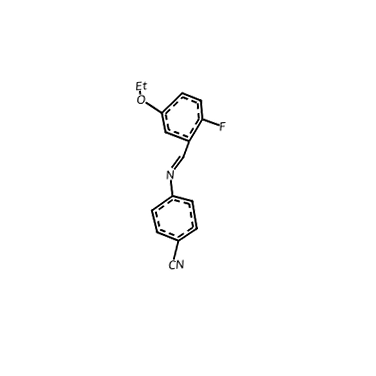 CCOc1ccc(F)c(C=Nc2ccc(C#N)cc2)c1